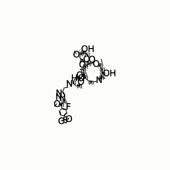 CC[C@H]1OC(=O)[C@H](C)[C@@H](O[C@H]2C[C@@](C)(OC)[C@@H](O)[C@H](C)O2)[C@H](C)[C@@H](O[C@H]2C[C@@H](N(C)CCc3cn([C@H](CF)[C@H](OC)c4ccc(S(C)(=O)=O)cc4)nn3)C[C@@H](C)O2)[C@](C)(O)C[C@@H](C)CN(C)[C@H](C)[C@@H](O)[C@H]1C